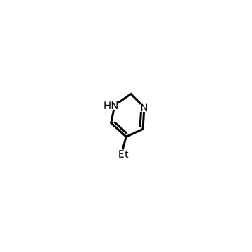 CCC1=CNCN=C1